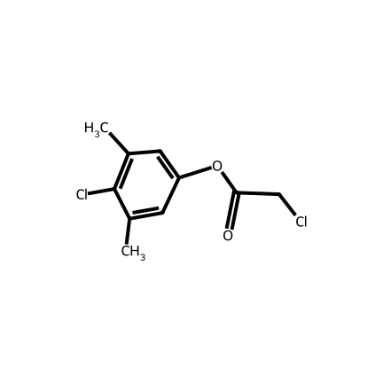 Cc1cc(OC(=O)CCl)cc(C)c1Cl